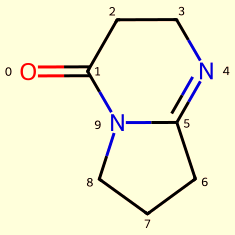 O=C1CCN=C2CCCN12